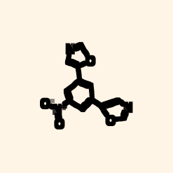 O=[N+]([O-])c1cc(-c2cnco2)cc(-c2cnco2)c1